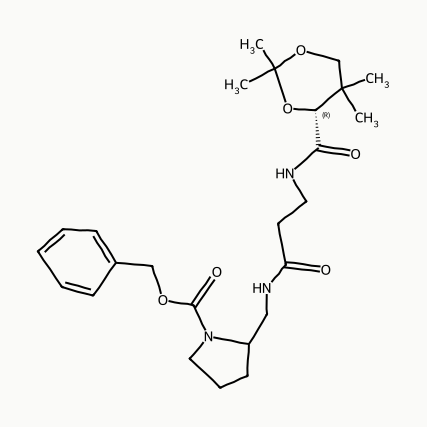 CC1(C)OCC(C)(C)[C@H](C(=O)NCCC(=O)NCC2CCCN2C(=O)OCc2ccccc2)O1